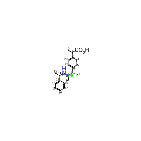 CC(C(=O)O)c1ccc(C[C@@H](C)N[C@H](C)c2ccccc2)cc1.Cl